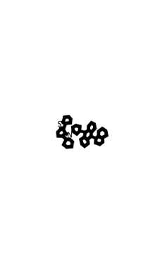 c1cc(-c2c3ccccc3c(-c3cccc4ccccc34)c3ccccc23)cc(-n2c3ccccc3c3ccc4sc5ccccc5c4c32)c1